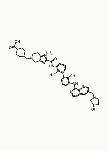 Cc1c(NC(=O)c2nc3c(n2C)CCN(CC2CCC(C(=O)O)CC2)C3)cccc1-c1cccc(Nc2nccc3cc(CN4CCC(O)C4)cnc23)c1C